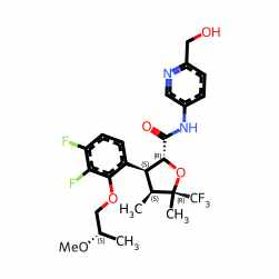 CO[C@@H](C)COc1c([C@H]2[C@H](C(=O)Nc3ccc(CO)nc3)O[C@@](C)(C(F)(F)F)[C@H]2C)ccc(F)c1F